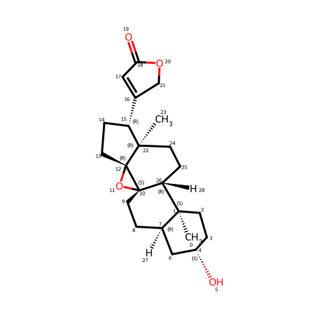 C[C@]12CC[C@H](O)C[C@H]1CC[C@@]13O[C@@]14CC[C@H](C1=CC(=O)OC1)[C@@]4(C)CC[C@H]23